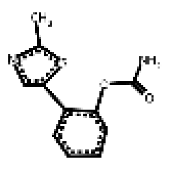 Cc1ncc(-c2ccccc2OC(N)=O)s1